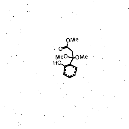 COC(=O)CC(OC)(OC)c1ccccc1O